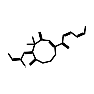 C=C(/C=C\C=C/C)/C1=C/C(=C)C(C)(C)/C(=C/C(I)=C\C)C(=C)CCC1